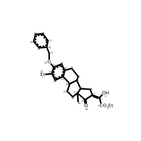 CCOC(=O)C(O)=C1CC2C3CCc4cc(OCc5ccccc5)c(CC)cc4C3CCC2(C)C1=O